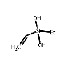 C=C[Si](O)(O)CC